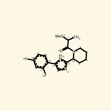 CSC(C)C(=O)N1CCCCC1c1ncc(-c2ccc(F)cc2F)[nH]1